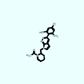 CC(=O)N1CCCCC1Cn1ccc2cc(-c3c(C)cc(Cl)cc3O)nnc21